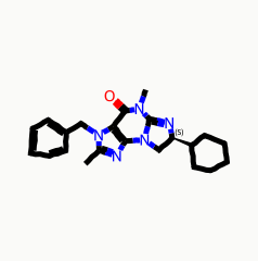 Cc1nc2c(n1Cc1ccccc1)C(=O)N(C)C1=N[C@@H](C3CCCCC3)CN12